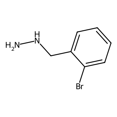 NNCc1ccccc1Br